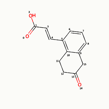 O=C(O)C=Cc1cccc2c1CCC(=O)C2